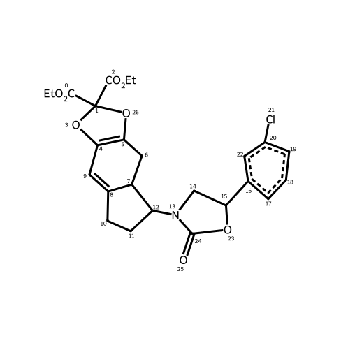 CCOC(=O)C1(C(=O)OCC)OC2=C(CC3C(=C2)CCC3N2CC(c3cccc(Cl)c3)OC2=O)O1